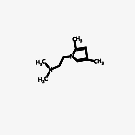 Cc1cc(C)n(CCN(C)C)c1